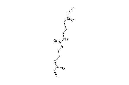 C=CC(=O)OCCOC(=O)NCCC[Si](=O)CC